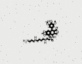 COc1cc(C2c3cc4c(cc3C(NS(=O)(=O)CCNCCCCNCCCN)C3COC(=O)C23)OCO4)cc(OC)c1O